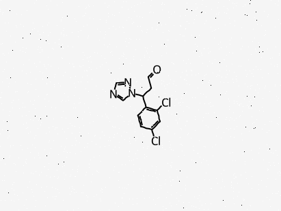 O=CCC(c1ccc(Cl)cc1Cl)n1cncn1